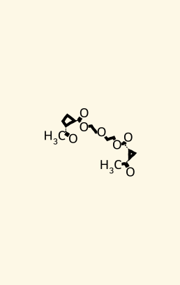 CC(=O)[C@H]1C[C@H]1C(=O)OCCOCCOC(=O)[C@H]1CC[C@H]1C(C)=O